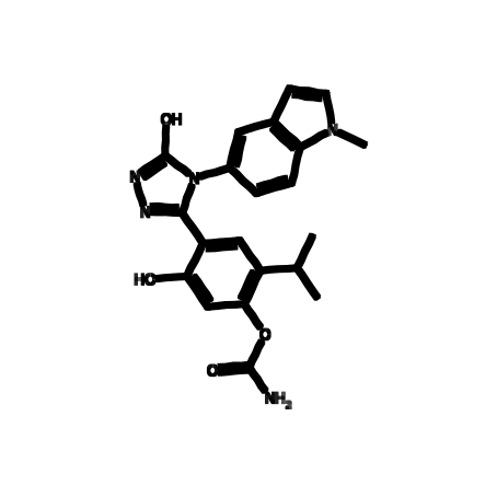 CC(C)c1cc(-c2nnc(O)n2-c2ccc3c(ccn3C)c2)c(O)cc1OC(N)=O